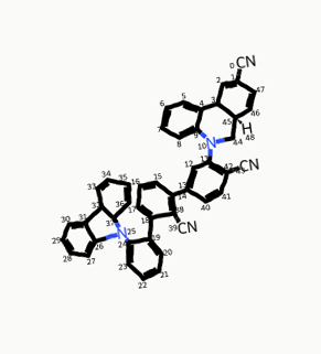 N#CC1=CC2c3ccccc3N(c3cc(-c4cccc(-c5ccccc5N5c6ccccc6C6C=CC=CC65)c4C#N)ccc3C#N)C[C@@H]2C=C1